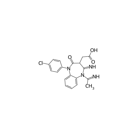 CC(=N)N1C(=N)C(CC(=O)O)C(=O)N(c2ccc(Cl)cc2)c2ccccc21